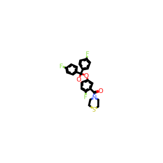 O=C(c1cc2c(cc1F)OC(c1ccc(F)cc1)(c1ccc(F)cc1)O2)N1CCSCC1